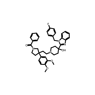 COc1ccc(C2(CCN3CCC(O)(c4nc5ccccc5n4Cc4ccc(F)cc4)CC3)CCN(C(=O)c3ccccc3)C2)cc1OC